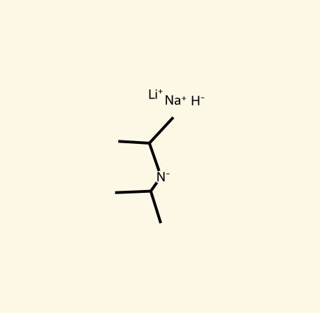 CC(C)[N-]C(C)C.[H-].[Li+].[Na+]